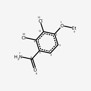 CCOc1ccc(C(N)=O)c(Cl)c1Cl